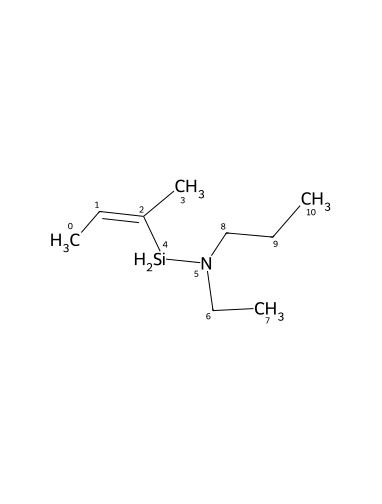 CC=C(C)[SiH2]N(CC)CCC